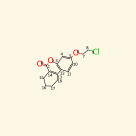 O=c1oc2cc(OCCCl)ccc2c2c1CCCC2